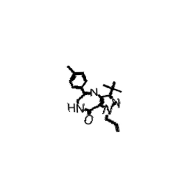 CCCn1nc(C(C)(C)C)c2c1C(=O)NCC(c1ccc(C)cc1)=N2